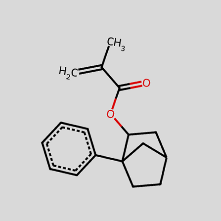 C=C(C)C(=O)OC1CC2CCC1(c1ccccc1)C2